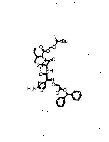 C=CC1=C(C(=O)OCOC(=O)C(C)(C)C)N2C(=O)C(NC(=O)C(=NOCC(=O)OC(c3ccccc3)c3ccccc3)c3csc(N)n3)[C@@H]2SC1